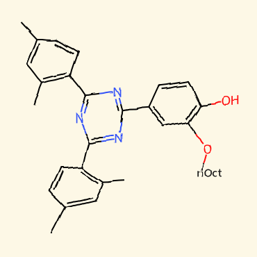 CCCCCCCCOc1cc(-c2nc(-c3ccc(C)cc3C)nc(-c3ccc(C)cc3C)n2)ccc1O